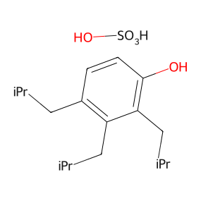 CC(C)Cc1ccc(O)c(CC(C)C)c1CC(C)C.O=S(=O)(O)O